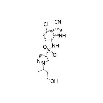 CC(CCO)n1cc(S(=O)(=O)Nc2ccc(Cl)c3c(C#N)c[nH]c23)cn1